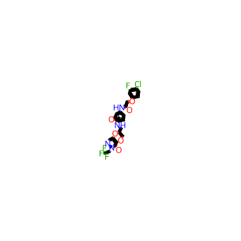 O=CC(CNC12CCC(NC(=O)COc3ccc(Cl)c(F)c3)(CC1)CC2=O)Oc1cnn(CC(F)(F)F)c(=O)c1